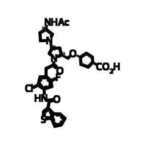 CC(=O)N[C@H]1CCN([C@H]2C[C@@H](CO[C@H]3CC[C@H](C(=O)O)CC3)N(C(=O)Cc3cc(Cl)c(NC(=O)c4csc5ccccc45)cc3F)C2)C1